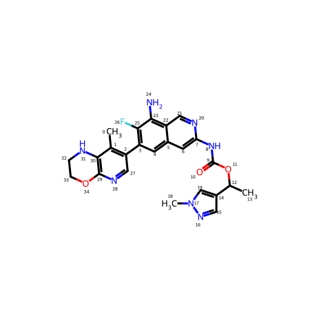 Cc1c(-c2cc3cc(NC(=O)OC(C)c4cnn(C)c4)ncc3c(N)c2F)cnc2c1NCCO2